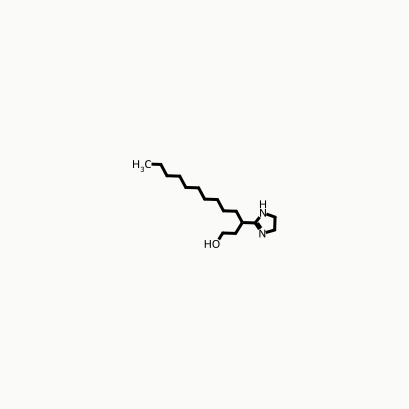 CCCCCCCCCCC(CCO)C1=NCCN1